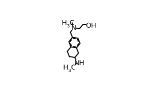 CNC1CCc2cc(CN(C)CCO)ccc2C1